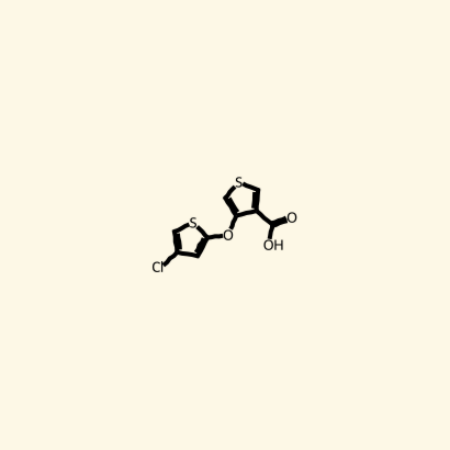 O=C(O)c1cscc1Oc1cc(Cl)cs1